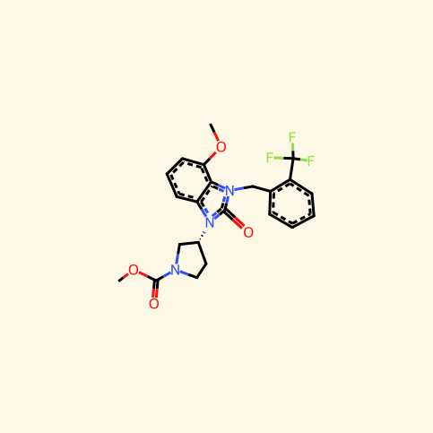 COC(=O)N1CC[C@@H](n2c(=O)n(Cc3ccccc3C(F)(F)F)c3c(OC)cccc32)C1